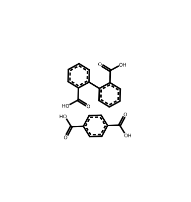 O=C(O)c1ccc(C(=O)O)cc1.O=C(O)c1ccccc1-c1ccccc1C(=O)O